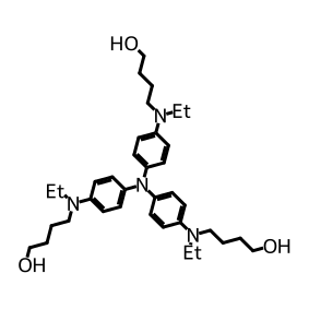 CCN(CCCCO)c1ccc(N(c2ccc(N(CC)CCCCO)cc2)c2ccc(N(CC)CCCCO)cc2)cc1